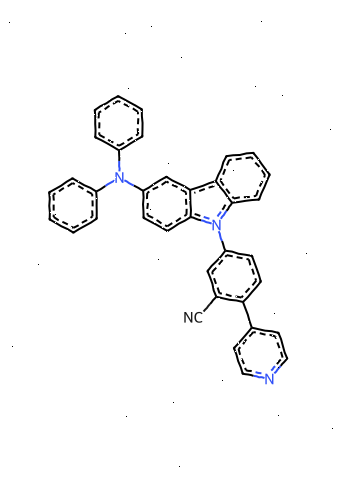 N#Cc1cc(-n2c3ccccc3c3cc(N(c4ccccc4)c4ccccc4)ccc32)ccc1-c1ccncc1